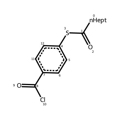 CCCCCCCC(=O)Sc1ccc(C(=O)Cl)cc1